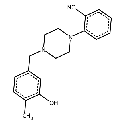 Cc1ccc(CN2CCN(c3ccccc3C#N)CC2)cc1O